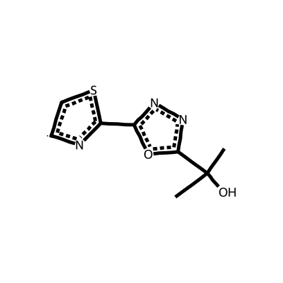 CC(C)(O)c1nnc(-c2n[c]cs2)o1